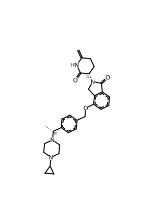 C=C1CC[C@H](N2Cc3c(OCc4ccc([C@@H](C)N5CCN(C6CC6)CC5)cc4)cccc3C2=O)C(=O)N1